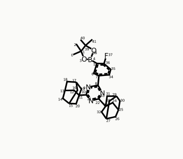 CC1(C)OB(c2cc(-c3nc(C45CC6CC(CC(C6)C4)C5)nc(C45CC6CC(CC(C6)C4)C5)n3)ccc2F)OC1(C)C